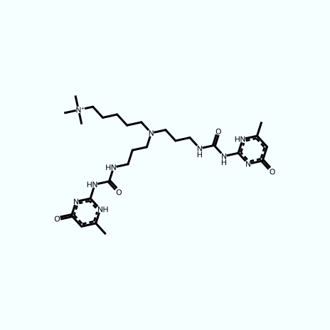 Cc1cc(=O)nc(NC(=O)NCCCN(CCCCC[N+](C)(C)C)CCCNC(=O)Nc2nc(=O)cc(C)[nH]2)[nH]1